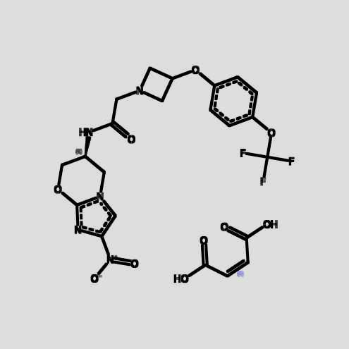 O=C(CN1CC(Oc2ccc(OC(F)(F)F)cc2)C1)N[C@@H]1COc2nc([N+](=O)[O-])cn2C1.O=C(O)/C=C\C(=O)O